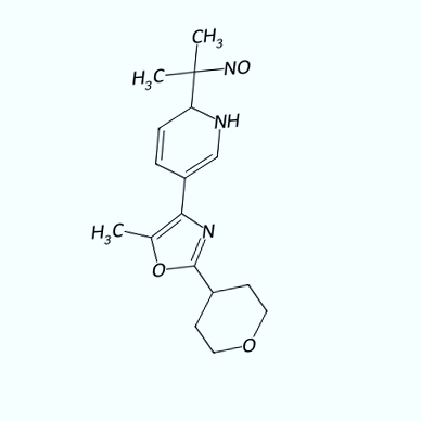 Cc1oc(C2CCOCC2)nc1C1=CNC(C(C)(C)N=O)C=C1